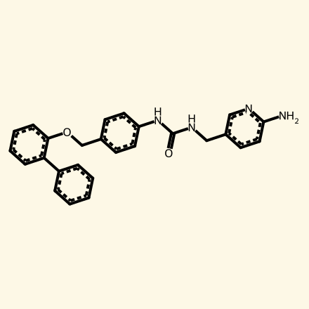 Nc1ccc(CNC(=O)Nc2ccc(COc3ccccc3-c3ccccc3)cc2)cn1